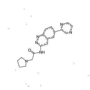 O=C(CN1CCCC1)Nc1cc2cc(-c3cnccn3)ccc2nn1